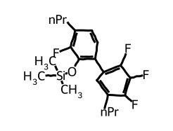 CCCc1cc(-c2ccc(CCC)c(F)c2O[Si](C)(C)C)c(F)c(F)c1F